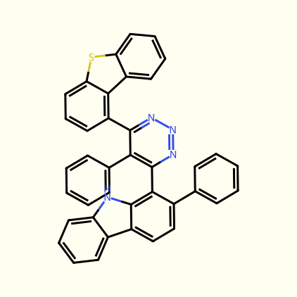 c1ccc(-c2ccc3c([nH]c4ccccc43)c2-c2nnnc(-c3cccc4sc5ccccc5c34)c2-c2ccccc2)cc1